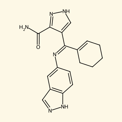 NC(=O)c1n[nH]cc1/C(=N/c1ccc2[nH]ncc2c1)C1=CCCCC1